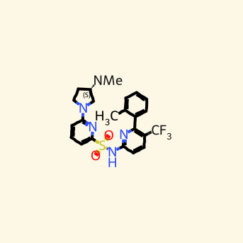 CN[C@H]1CCN(c2cccc(S(=O)(=O)Nc3ccc(C(F)(F)F)c(-c4ccccc4C)n3)n2)C1